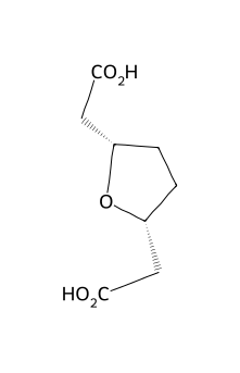 O=C(O)C[C@H]1CC[C@@H](CC(=O)O)O1